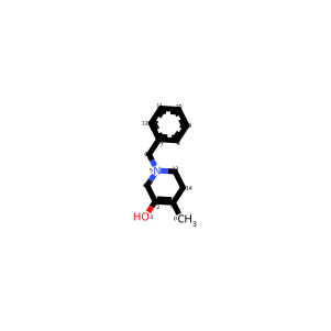 CC1=C(O)CN(Cc2ccccc2)CC1